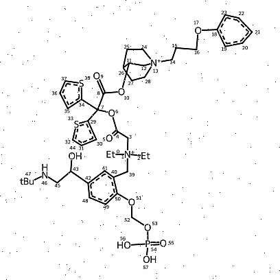 CC[N+](CC)(CC(=O)OC(C(=O)OC1C[N+]2(CCCOc3ccccc3)CCC1CC2)(c1cccs1)c1cccs1)Cc1cc(C(O)CNC(C)(C)C)ccc1OCOP(=O)(O)O